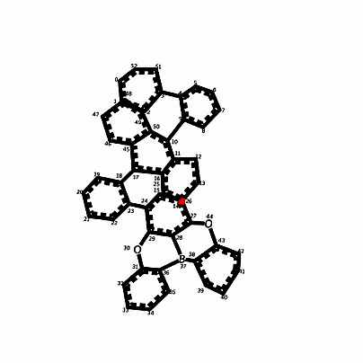 c1ccc(-c2ccccc2-c2c3ccccc3c(-c3ccccc3-c3ccc4c5c3Oc3ccccc3B5c3ccccc3O4)c3ccccc23)cc1